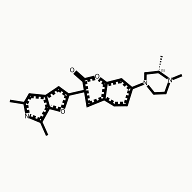 Cc1cc2cc(-c3cc4ccc(N5CCN(C)[C@@H](C)C5)cc4oc3=O)oc2c(C)n1